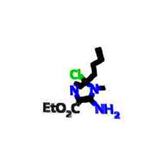 C=CCCC(C)(Cl)N(C)/C(N)=C(\N=C)C(=O)OCC